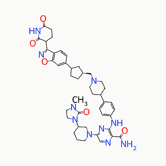 CN1CCN([C@@H]2CCCN(c3cnc(C(N)=O)c(Nc4ccc(C5CCN(C[C@H]6CCC(c7ccc8c(C9CCC(=O)NC9=O)noc8c7)C6)CC5)cc4)n3)C2)C1=O